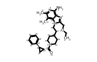 CCOCc1nc2c(N)nc(C)c(C)c2n1CCC1CCN(C(=O)[C@@H]2C[C@H]2c2ccccc2)CC1